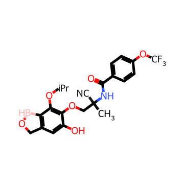 CC(C)Oc1c2c(cc(O)c1OCC(C)(C#N)NC(=O)c1ccc(OC(F)(F)F)cc1)COB2